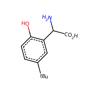 CC(C)(C)c1ccc(O)c(C(N)C(=O)O)c1